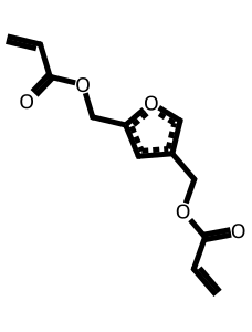 C=CC(=O)OCc1coc(COC(=O)C=C)c1